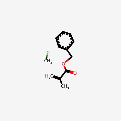 C=C(C)C(=O)OCc1ccccc1.CCl